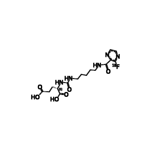 O=C(O)CC[C@H](NC(=O)NCCCCCNC(=O)c1nccnc1[18F])C(=O)O